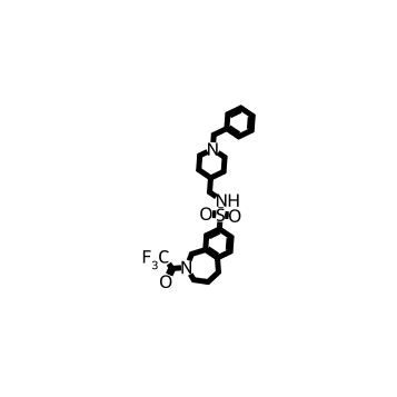 O=C(N1CCCc2ccc(S(=O)(=O)NCC3CCN(Cc4ccccc4)CC3)cc2C1)C(F)(F)F